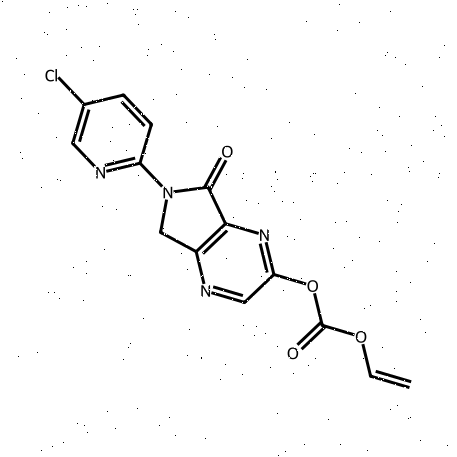 C=COC(=O)Oc1cnc2c(n1)C(=O)N(c1ccc(Cl)cn1)C2